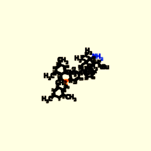 CC1=CC(C)CC(C)=C1CP(Cc1c(C)cc(C)cc1C)c1ccc(C(CC(C)(C)C(C)(N)C(CC(C)(C)C)c2ccccc2)C(C)(C)C)cc1